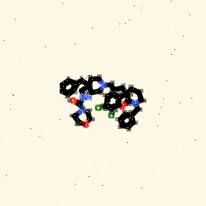 O=C(NCC1(Cc2ccccc2)CCN(CCCC2(c3ccc(Cl)c(Cl)c3)CCCN(Cc3ccccc3)C2=O)CC1)N1CCOCC1